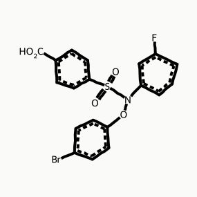 O=C(O)c1ccc(S(=O)(=O)N(Oc2ccc(Br)cc2)c2cccc(F)c2)cc1